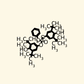 CC(C)(C)c1cc(OP(=O)(Oc2ccccc2)Oc2cc(C(C)(C)C)c(O)c(C(C)(C)C)c2)cc(C(C)(C)C)c1O